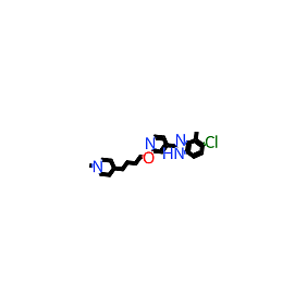 Cc1c(Cl)ccc2[nH]c(-c3ccnc(OCCCCC4CCN(C)CC4)c3)nc12